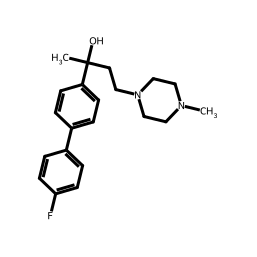 CN1CCN(CCC(C)(O)c2ccc(-c3ccc(F)cc3)cc2)CC1